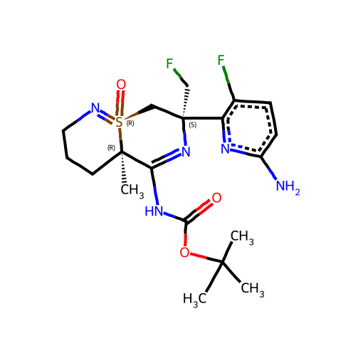 CC(C)(C)OC(=O)NC1=N[C@](CF)(c2nc(N)ccc2F)C[S@]2(=O)=NCCC[C@]12C